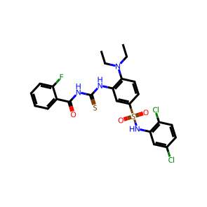 CCN(CC)c1ccc(S(=O)(=O)Nc2cc(Cl)ccc2Cl)cc1NC(=S)NC(=O)c1ccccc1F